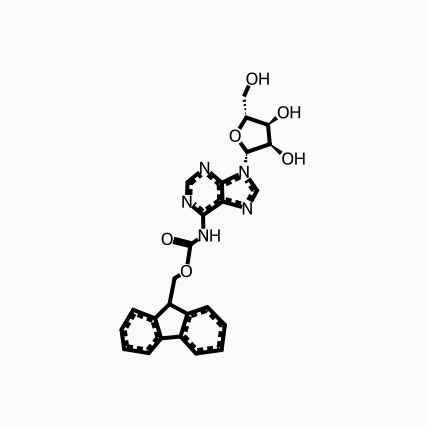 O=C(Nc1ncnc2c1ncn2[C@@H]1O[C@H](CO)[C@@H](O)[C@H]1O)OCC1c2ccccc2-c2ccccc21